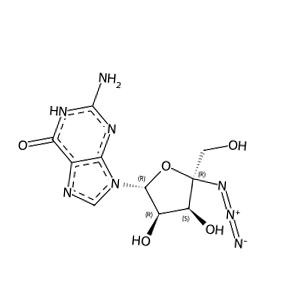 [N-]=[N+]=N[C@]1(CO)O[C@@H](n2cnc3c(=O)[nH]c(N)nc32)[C@H](O)[C@@H]1O